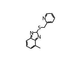 Cc1cccc2c1=NC(SCc1ccccn1)N=2